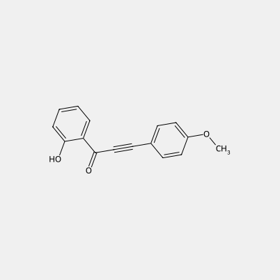 COc1ccc(C#CC(=O)c2ccccc2O)cc1